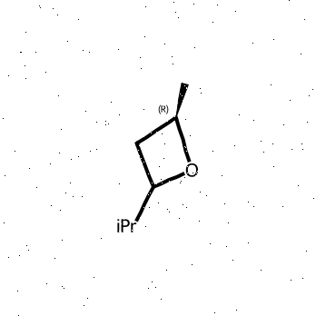 CC(C)C1C[C@@H](C)O1